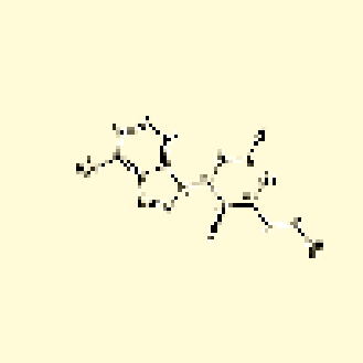 Nc1ncnc2c1ncn2[C@H](OCCl)[C@H](F)[C@H](O)CCO